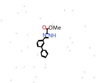 COC(=O)c1nc(-c2cccc(-c3ccccc3)c2)c[nH]1